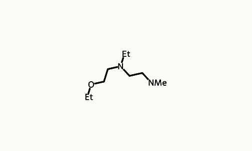 CCOCCN(CC)CCNC